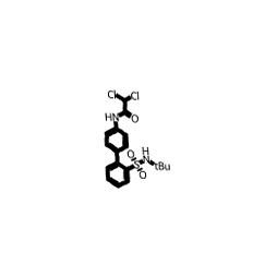 CC(C)(C)NS(=O)(=O)c1ccccc1-c1ccc(NC(=O)C(Cl)Cl)cc1